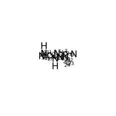 N#Cc1cc2cnc(Nc3ccc4[nH]ncc4c3)nc2n1C1CCCC1